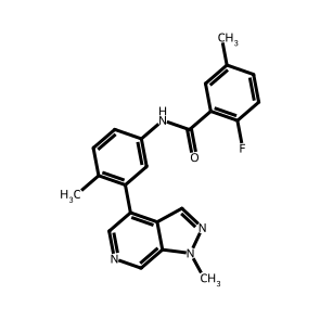 Cc1ccc(F)c(C(=O)Nc2ccc(C)c(-c3cncc4c3cnn4C)c2)c1